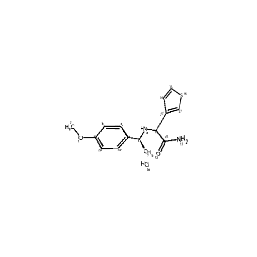 COc1ccc([C@H](C)NC(C(N)=O)c2ccsc2)cc1.Cl